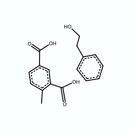 Cc1ccc(C(=O)O)cc1C(=O)O.OCCc1ccccc1